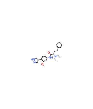 CCN(CC)C(CCc1ccccc1)C(=O)Nc1ccc(-c2cn[nH]c2)c(OC)c1